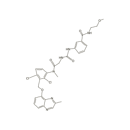 COCCNC(=O)c1cccc(NC(=O)NCC(=O)N(C)c2ccc(Cl)c(COc3cccc4ncc(C)nc34)c2Cl)c1